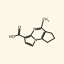 Cc1nc2c(C(=O)O)ccn2c2c1CCC2